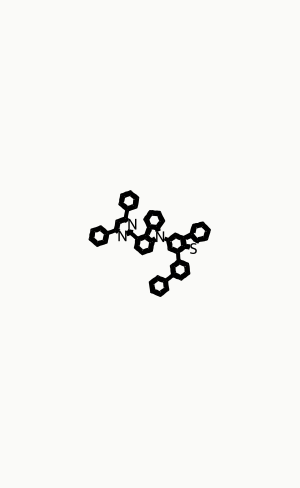 c1ccc(-c2cccc(-c3cc(-n4c5ccccc5c5c(-c6nc(-c7ccccc7)cc(-c7ccccc7)n6)cccc54)cc4c3sc3ccccc34)c2)cc1